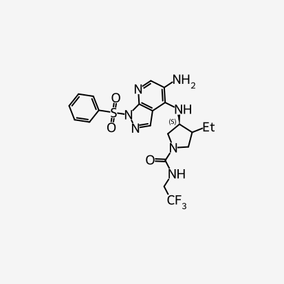 CCC1CN(C(=O)NCC(F)(F)F)C[C@H]1Nc1c(N)cnc2c1cnn2S(=O)(=O)c1ccccc1